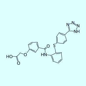 O=C(O)COc1cccc(C(=O)Nc2ccccc2Sc2ccc(-c3nnn[nH]3)cc2)c1